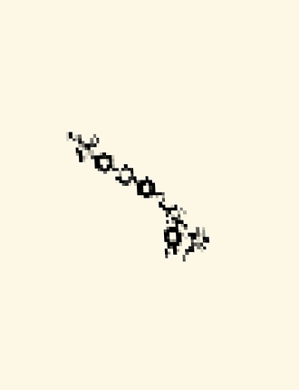 CCC(C)n1cnn(-c2ccc(N3CCN(c4ccc(OCC5COC(CSc6ncnn6C)(c6ccc(F)cc6)O5)cc4)CC3)cc2)c1=O